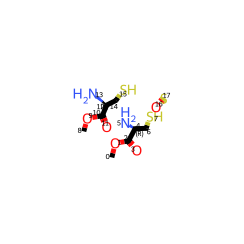 COC(=O)[C@@H](N)CS.COC(=O)[C@@H](N)CS.O=S